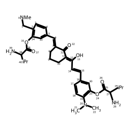 CNCc1ccc(/C=C2\CCC/C(=C(O)\C=C\c3ccc(N(C)C)c(OC(=O)C(N)C(C)C)c3)C2=O)cc1OC(=O)C(N)C(C)C